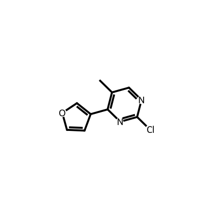 Cc1cnc(Cl)nc1-c1ccoc1